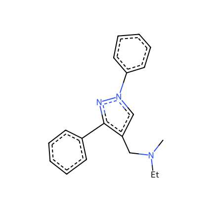 CCN(C)Cc1cn(-c2ccccc2)nc1-c1ccccc1